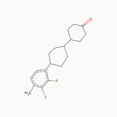 Cc1ccc(C2CCC(C3CCC(=O)CC3)CC2)c(F)c1F